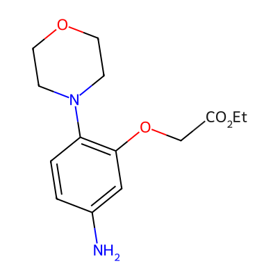 CCOC(=O)COc1cc(N)ccc1N1CCOCC1